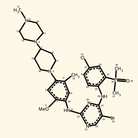 COc1cc(N2CCC(N3CCN(C)CC3)CC2)c(C)cc1Nc1ncc(Br)c(Nc2ccc(Cl)cc2P(C)(C)=O)n1